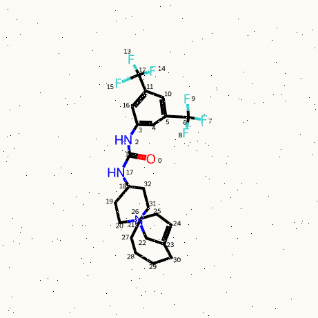 O=C(Nc1cc(C(F)(F)F)cc(C(F)(F)F)c1)NC1CCN(C/C2=C\CCCCCC2)CC1